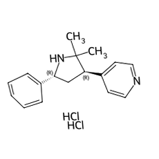 CC1(C)N[C@@H](c2ccccc2)C[C@@H]1c1ccncc1.Cl.Cl